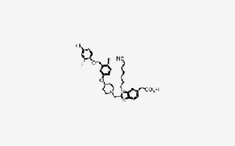 N#CCCCCCCn1c(CN2CCC(Oc3ccc(F)c(COc4ccc(Cl)cc4F)c3)CC2)nc2ccc(CC(=O)O)cc21